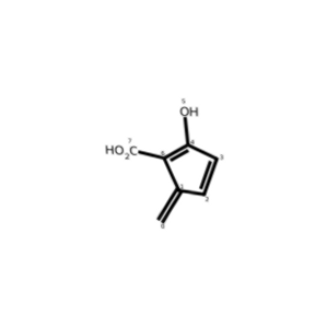 C=C1C=CC(O)=C1C(=O)O